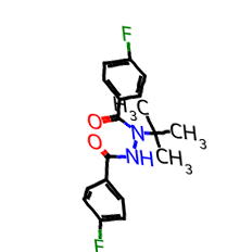 CC(C)(C)N(NC(=O)c1ccc(F)cc1)C(=O)c1ccc(F)cc1